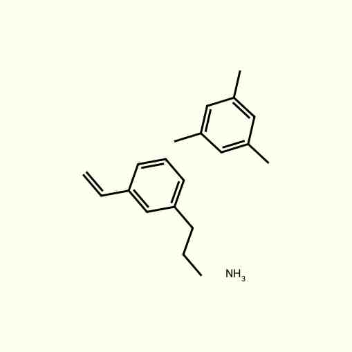 C=Cc1cccc(CCC)c1.Cc1cc(C)cc(C)c1.N